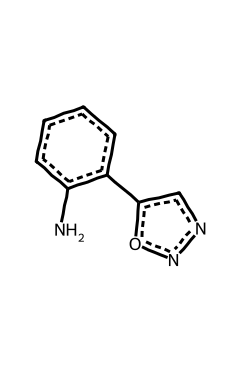 Nc1ccccc1-c1cnno1